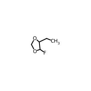 CCC1OCOC1F